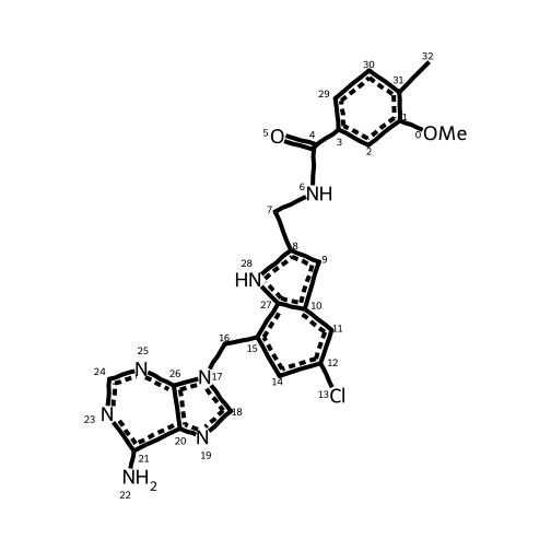 COc1cc(C(=O)NCc2cc3cc(Cl)cc(Cn4cnc5c(N)ncnc54)c3[nH]2)ccc1C